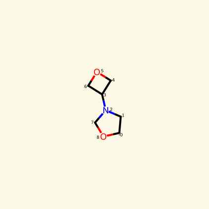 [CH]1CN(C2COC2)CO1